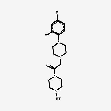 CC(C)N1CCN(C(=O)CN2CCN(c3ccc(F)cc3F)CC2)CC1